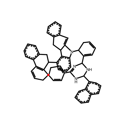 C1=CCC(N2C3=Cc4ccccc4CC3c3c(C4Cc5ccccc5C5=C4CCC=C5)cccc32)C(C2N=C(C3=CCCC=C3)NC(c3cccc4ccccc34)N2)=C1